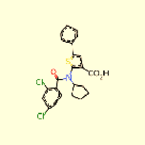 O=C(O)c1cc(-c2ccccc2)sc1N(C(=O)c1ccc(Cl)cc1Cl)C1CCCC1